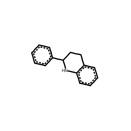 [c]1ccc2c(c1)CCC(c1ccccc1)N2